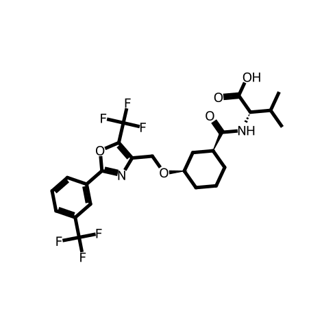 CC(C)[C@H](NC(=O)[C@H]1CCC[C@@H](OCc2nc(-c3cccc(C(F)(F)F)c3)oc2C(F)(F)F)C1)C(=O)O